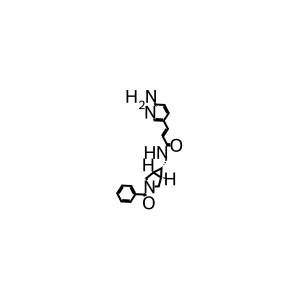 Nc1ccc(/C=C/C(=O)NC[C@@H]2[C@H]3CN(C(=O)c4ccccc4)C[C@@H]23)cn1